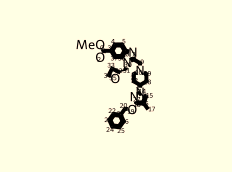 COC(=O)c1ccc2nc(CN3CCC(n4cc(C)c(OCc5ccccc5)n4)CC3)n(C[C@@H]3CCO3)c2c1